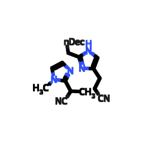 CC(C#N)c1nccn1C.CCCCCCCCCCCc1nc(CCC#N)c[nH]1